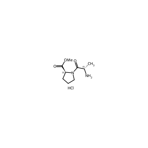 COC(=O)[C@@H]1CCCN1C(=O)[C@H](C)N.Cl